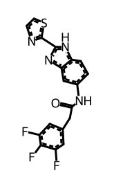 O=C(Cc1cc(F)c(F)c(F)c1)Nc1ccc2[nH]c(-c3nccs3)nc2c1